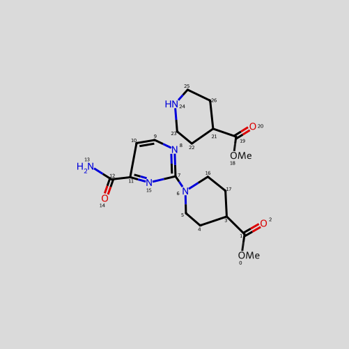 COC(=O)C1CCN(c2nccc(C(N)=O)n2)CC1.COC(=O)C1CCNCC1